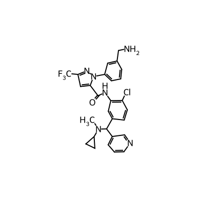 CN(C1CC1)C(c1cccnc1)c1ccc(Cl)c(NC(=O)c2cc(C(F)(F)F)nn2-c2cccc(CN)c2)c1